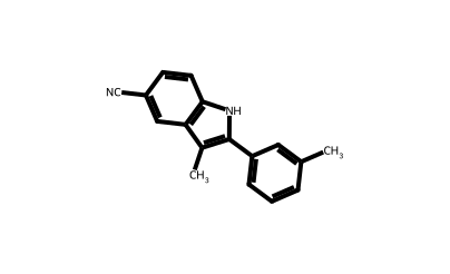 Cc1cccc(-c2[nH]c3ccc(C#N)cc3c2C)c1